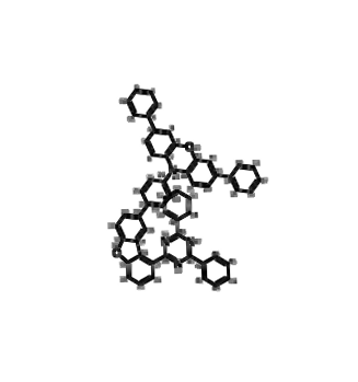 c1ccc(-c2ccc3c(c2)Oc2cc(-c4ccccc4)ccc2N3c2ccc(-c3ccc4oc5cccc(-c6nc(-c7ccccc7)nc(-c7ccccc7)n6)c5c4c3)cc2)cc1